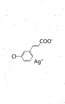 O=C([O-])C=Cc1cccc(Cl)c1.[Ag+]